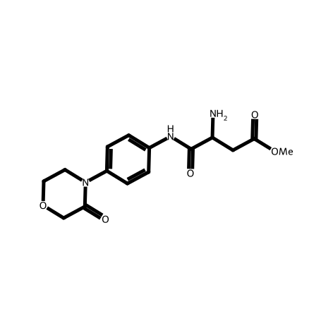 COC(=O)CC(N)C(=O)Nc1ccc(N2CCOCC2=O)cc1